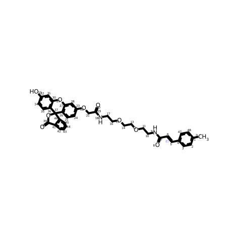 Cc1ccc(/C=C/C(=O)NCCOCCOCCNC(=O)COc2ccc3c(c2)Oc2cc(O)ccc2C32OC(=O)c3ccccc32)cc1